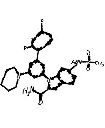 CS(=O)(=O)Nc1ccc2cc(C(N)=O)n(-c3cc(-c4ccc(F)cc4F)cc(N4CCCCC4)c3)c2c1